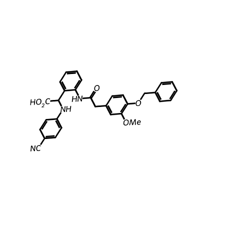 COc1cc(CC(=O)Nc2ccccc2C(Nc2ccc(C#N)cc2)C(=O)O)ccc1OCc1ccccc1